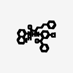 O=C(c1ccccc1)c1cc(Cl)ccc1NC(CCCc1ccccc1)C(=O)Nc1cccc2cccnc12